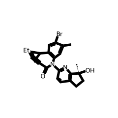 CCC#CC(=O)N(c1ccc2c(n1)[C@@](C)(O)CC2)c1cc(C)c(Br)cc1C1CC1